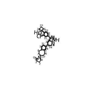 C[C@@H]1CCCN1C1CCc2ccc(-c3cnc4[nH]nc(-c5ccc(C6(O)CCC6)c(Cl)c5)c4c3)cc2CC1